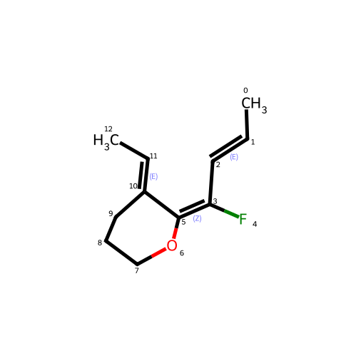 C/C=C/C(F)=C1/OCCC/C1=C\C